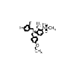 CCOc1ccc(CN(Cc2ccc(F)cc2F)c2cccc(NS(C)(=O)=O)c2C)cc1